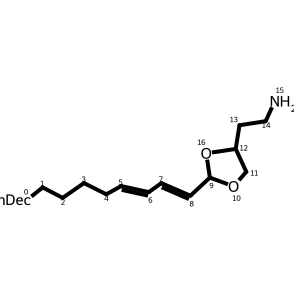 CCCCCCCCCCCCCCC=CC=CC1OCC(CCN)O1